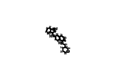 c1cnc2c(Nc3ccc4c(NCC5CCCOC5)nccc4c3)n[nH]c2c1